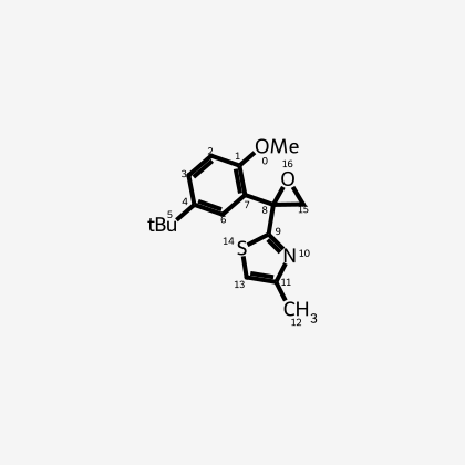 COc1ccc(C(C)(C)C)cc1C1(c2nc(C)cs2)CO1